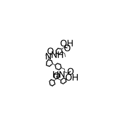 CCc1cc(NC(=O)N(C)c2cccc(-c3ccc(C[C@H](Nc4ccccc4C(=O)c4ccccc4)C(=O)O)cc3)c2)ccc1C(=O)O